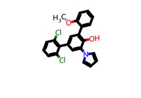 COc1ccccc1-c1cc(-c2c(Cl)cccc2Cl)cc(-n2cccc2)c1O